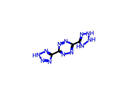 N1=C(c2nnc(-c3nn[nH]n3)nn2)NNN1